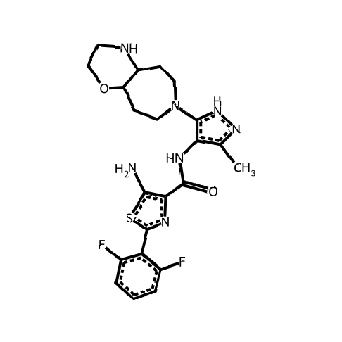 Cc1n[nH]c(N2CCC3NCCOC3CC2)c1NC(=O)c1nc(-c2c(F)cccc2F)sc1N